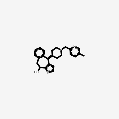 Cc1ccc(CN2CCC(=C3c4ccccc4CC(O)c4sccc43)CC2)nc1